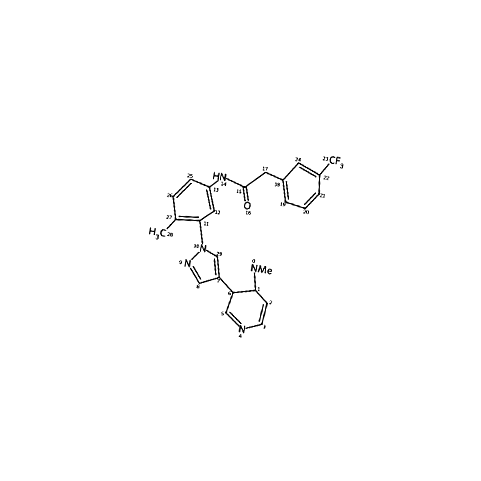 CNC1C=CN=CC1c1cnn(-c2cc(NC(=O)Cc3cccc(C(F)(F)F)c3)ccc2C)c1